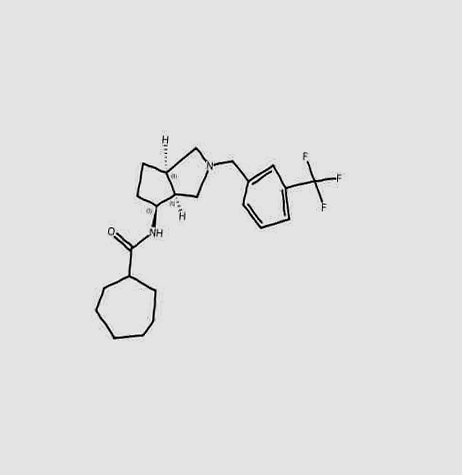 O=C(N[C@H]1CC[C@H]2CN(Cc3cccc(C(F)(F)F)c3)C[C@H]21)C1CCCCCC1